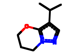 CC(C)c1cnn2c1OCCC2